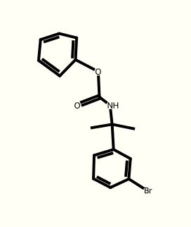 CC(C)(NC(=O)Oc1ccccc1)c1cccc(Br)c1